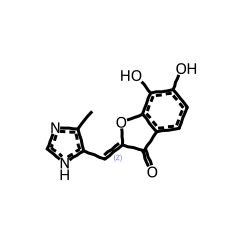 Cc1nc[nH]c1/C=C1\Oc2c(ccc(O)c2O)C1=O